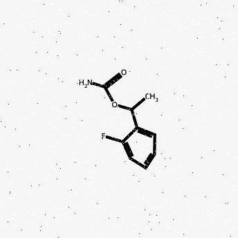 CC(OC(N)=O)c1ccccc1F